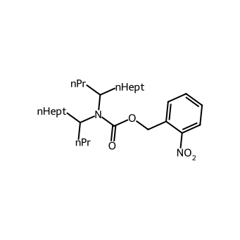 CCCCCCCC(CCC)N(C(=O)OCc1ccccc1[N+](=O)[O-])C(CCC)CCCCCCC